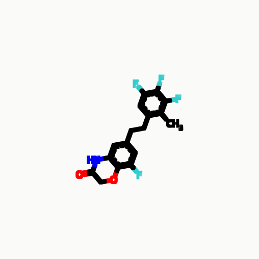 Cc1c(CCc2cc(F)c3c(c2)NC(=O)CO3)cc(F)c(F)c1F